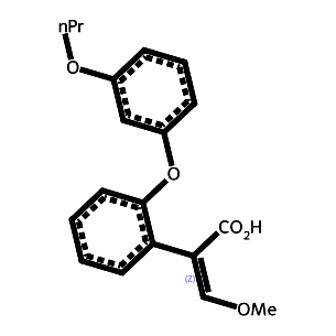 CCCOc1cccc(Oc2ccccc2/C(=C/OC)C(=O)O)c1